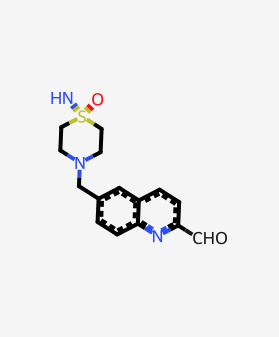 N=S1(=O)CCN(Cc2ccc3nc(C=O)ccc3c2)CC1